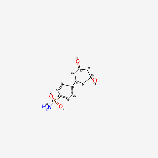 NS(=O)(=O)c1ccc(C2CC(=O)CC(=O)C2)cc1